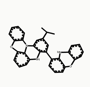 CC(C)c1cc(-c2cccc3c2Nc2ccccc2O3)c2c(c1)N1c3ccccc3Oc3cccc(c31)B2